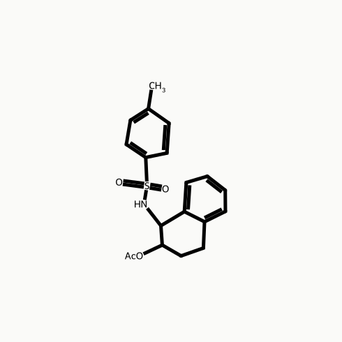 CC(=O)OC1CCc2ccccc2C1NS(=O)(=O)c1ccc(C)cc1